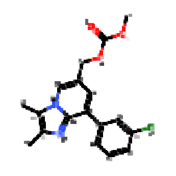 COC(=O)OCc1cc(-c2cccc(Cl)c2)c2nc(C)c(C)n2c1